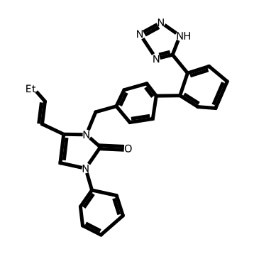 CC/C=C/c1cn(-c2ccccc2)c(=O)n1Cc1ccc(-c2ccccc2-c2nnn[nH]2)cc1